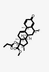 CCC(=O)O[C@]1(C(=O)OC)[C@H](C)C[C@H]2[C@@H]3C[C@H](F)C4=CC(=O)C=C[C@]4(C)C3=CC[C@@]21C